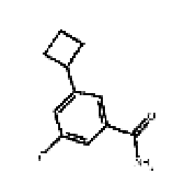 NC(=O)c1cc(F)cc(C2CCC2)c1